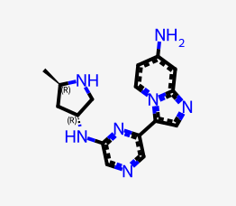 C[C@@H]1C[C@@H](Nc2cncc(-c3cnc4cc(N)ccn34)n2)CN1